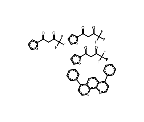 O=C(CC(=O)C(F)(F)F)c1cccs1.O=C(CC(=O)C(F)(F)F)c1cccs1.O=C(CC(=O)C(F)(F)F)c1cccs1.c1ccc(-c2ccnc3c2ccc2c(-c4ccccc4)ccnc23)cc1